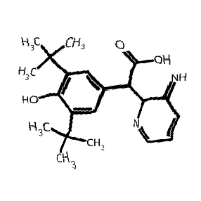 CC(C)(C)c1cc(C(C(=O)O)C2N=CC=CC2=N)cc(C(C)(C)C)c1O